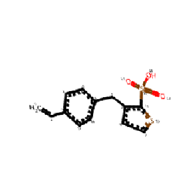 C=Cc1ccc(Cc2ccsc2S(=O)(=O)O)cc1